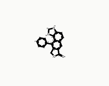 O=C1OCc2c1cc1ccc3c(c1c2-c1ccccc1)OCO3